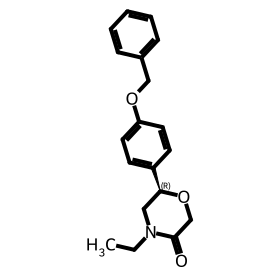 CCN1C[C@@H](c2ccc(OCc3ccccc3)cc2)OCC1=O